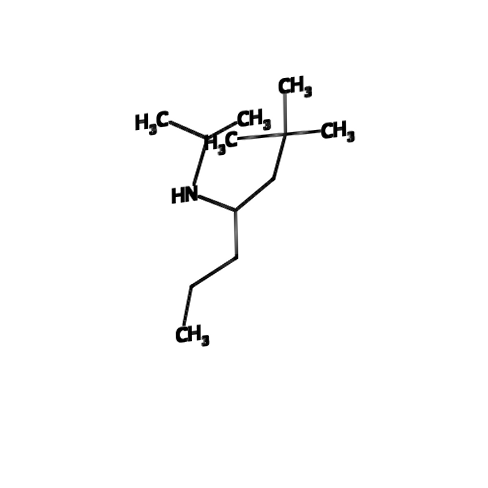 CCCC(CC(C)(C)C)NC(C)C